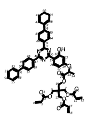 C=CC(=O)OCC(COC(=O)C=C)(COC(=O)C=C)COC(=O)C(C)Oc1ccc(-c2nc(-c3ccc(C4=CCCC=C4)cc3)nc(-c3ccc(-c4ccccc4)cc3)n2)c(O)c1